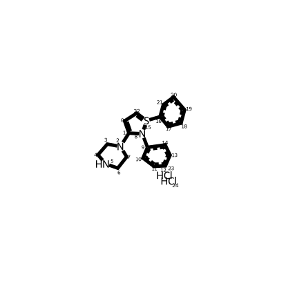 C1=C(N2CCNCC2)N(c2ccccc2)S(c2ccccc2)=C1.Cl.Cl